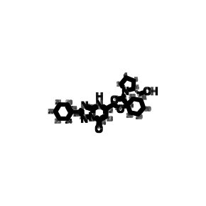 O=C(N1CCC[C@@H]1CO)C1(OCc2cc(=O)n3nc(C4=CCCCC4)nc3[nH]2)CCCCC1